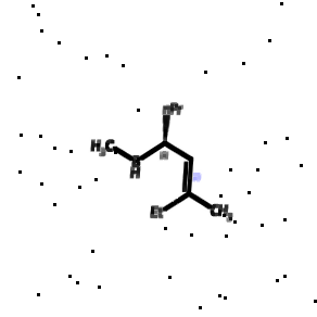 CB[C@H](/C=C(/C)CC)CCC